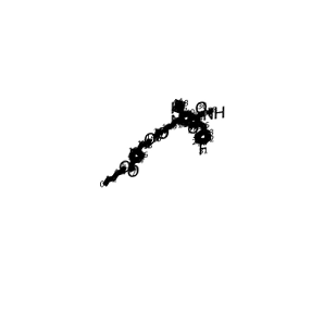 CCCCCOC(=O)c1ccc(CCOCCOCCNc2cc3oc(Cc4ccc(F)cc4)c(C(=O)NC)c3cc2C2CCC2)cc1